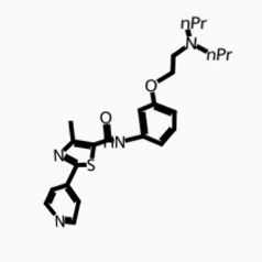 CCCN(CCC)CCOc1cccc(NC(=O)c2sc(-c3ccncc3)nc2C)c1